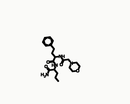 CCCC(NC(=O)C(CCc1ccccc1)NC(=O)CN1CCOCC1)C(N)=O